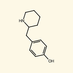 Oc1ccc(CC2CCCCN2)cc1